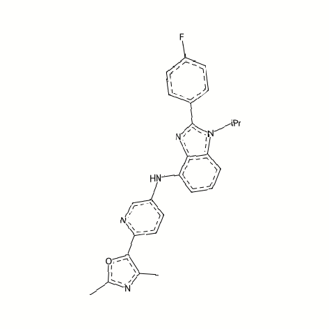 Cc1nc(C)c(-c2ccc(Nc3cccc4c3nc(-c3ccc(F)cc3)n4C(C)C)cn2)o1